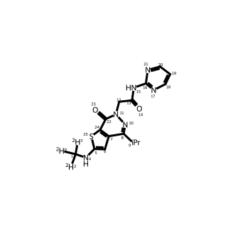 [2H]C([2H])([2H])Nc1cc2c(C(C)C)nn(CC(=O)Nc3ncccn3)c(=O)c2s1